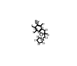 Cc1c(C)c2c(c(C)c1Br)CC(C)(CN1CCCC1)O2